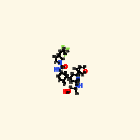 Cc1ccc(NC(=O)N2CC[C@@H](CC(F)(F)F)C2)cc1-c1cc(NC(C)CO)nc(C23COCC2C3)c1